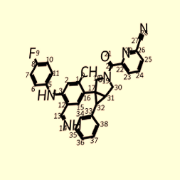 Cc1cc(Nc2ccc(F)cc2)c(C=N)cc1C12CN(C(=O)c3cccc(C#N)n3)CC1C2c1ccccc1